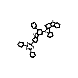 c1ccc(-c2nc(-c3ccccc3)nc(-c3ccc4c(c3)oc3c(-c5ccccc5)cc(-n5c6ccccc6c6c7c(ccc65)sc5ccccc57)cc34)n2)cc1